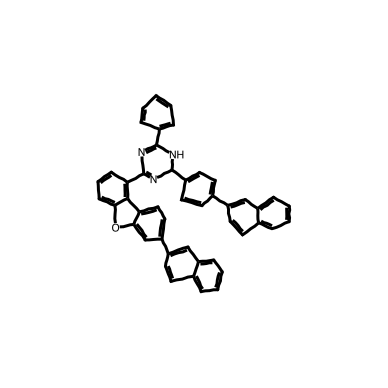 c1ccc(C2=NC(c3cccc4oc5cc(-c6ccc7ccccc7c6)ccc5c34)=NC(c3ccc(-c4ccc5ccccc5c4)cc3)N2)cc1